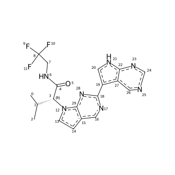 CC(C)[C@H](C(=O)NCC(F)(F)F)n1ccc2cnc(-c3c[nH]c4ncncc34)nc21